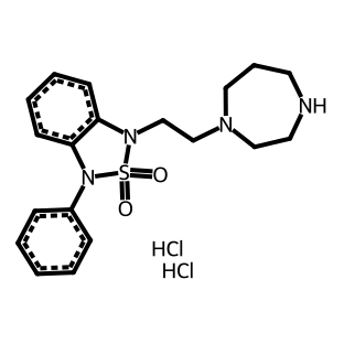 Cl.Cl.O=S1(=O)N(CCN2CCCNCC2)c2ccccc2N1c1ccccc1